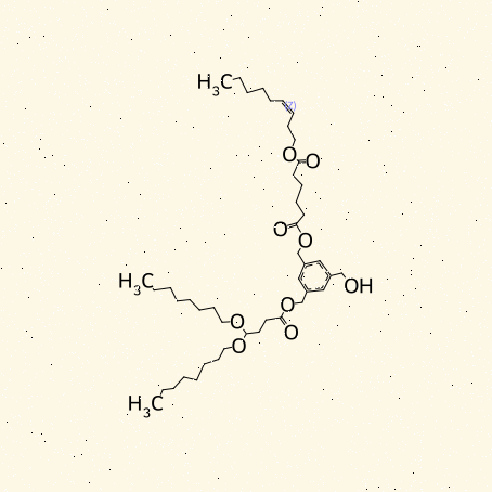 CCCCC/C=C\CCOC(=O)CCCCC(=O)OCc1cc(CO)cc(COC(=O)CCC(OCCCCCCCC)OCCCCCCCC)c1